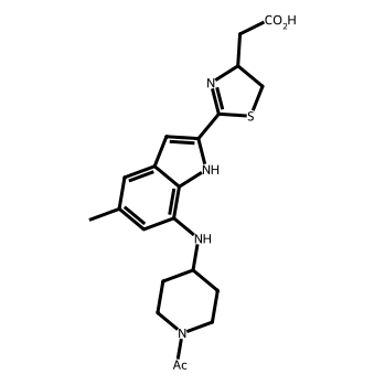 CC(=O)N1CCC(Nc2cc(C)cc3cc(C4=NC(CC(=O)O)CS4)[nH]c23)CC1